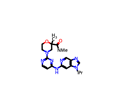 CNC(=O)C1(C)CN(c2nccc(Nc3cc4c(cn3)ncn4C(C)C)n2)CCO1